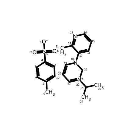 Cc1ccc(S(=O)(=O)[O-])cc1.Cc1ncccc1N1C=CC=[N+](C(C)C)C1